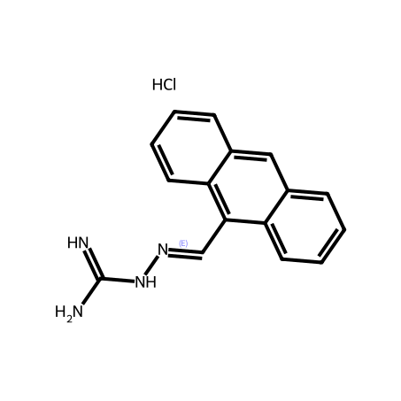 Cl.N=C(N)N/N=C/c1c2ccccc2cc2ccccc12